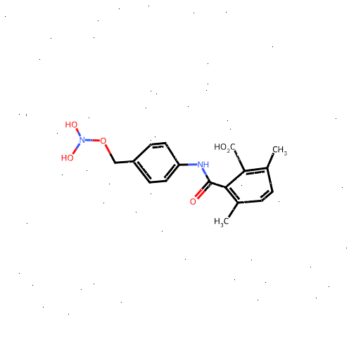 Cc1ccc(C)c(C(=O)Nc2ccc(CON(O)O)cc2)c1C(=O)O